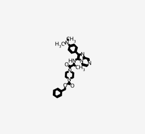 CC(Nc1c(-c2ccc(N(C)C)cc2)nc2cnccn12)C(=O)N1CCN(C(=O)OCc2ccccc2)CC1